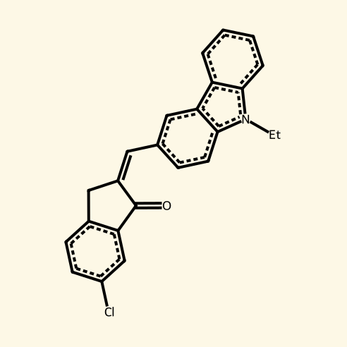 CCn1c2ccccc2c2cc(/C=C3/Cc4ccc(Cl)cc4C3=O)ccc21